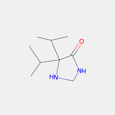 CC(C)C1(C(C)C)NCNC1=O